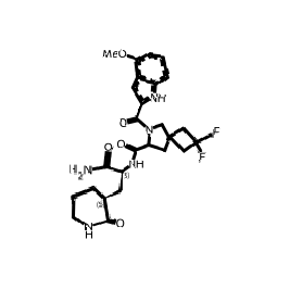 COc1cccc2[nH]c(C(=O)N3CC4(CC3C(=O)N[C@@H](C[C@@H]3CCCNC3=O)C(N)=O)CC(F)(F)C4)cc12